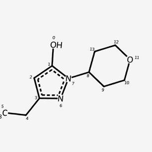 Oc1cc(CC(F)(F)F)nn1C1CCOCC1